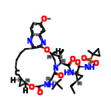 CC[C@@H]1C[C@]1(NC(=O)[C@@H]1[C@H](C)[C@@H]2CN1C(=O)[C@H](C(C)(C)C)NC(=O)O[C@@H]1C[C@H]1CCCCCc1nc3ccc(OC)cc3nc1O2)C(=O)NS(=O)(=O)C1(C)CC1